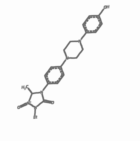 CCN1C(=O)N(c2ccc(N3CCN(c4ccc(O)cc4)CC3)cc2)C(C)[N+]1=O